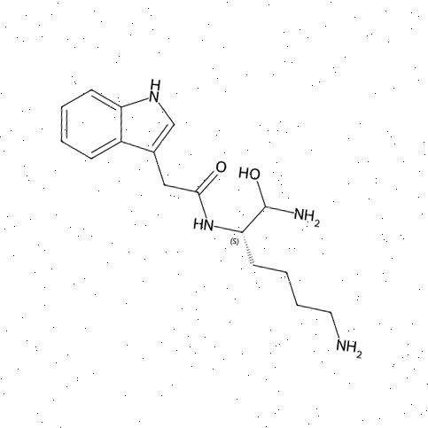 NCCCC[C@H](NC(=O)Cc1c[nH]c2ccccc12)C(N)O